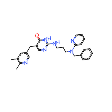 Cc1cc(Cc2cnc(NCCCN(Cc3ccccc3)c3ccccn3)[nH]c2=O)cnc1C